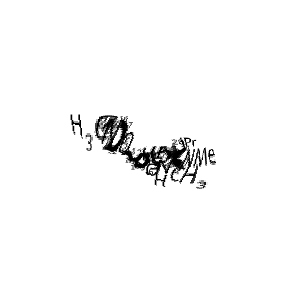 CN/C(C)=C(/NS(=O)(=O)c1ccc(CCCOC2CCN(C)CC2)cc1)C(=N)CC(C)C